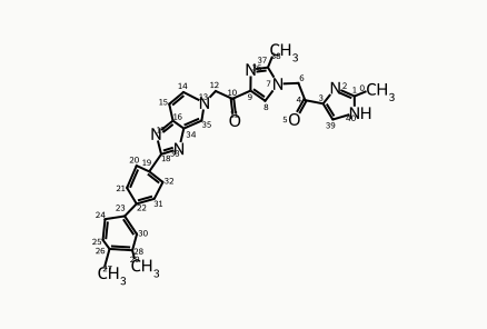 Cc1nc(C(=O)Cn2cc(C(=O)Cn3ccc4nc(-c5ccc(-c6ccc(C)c(C)c6)cc5)nc-4c3)nc2C)c[nH]1